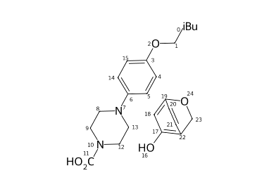 CCC(C)COc1ccc(N2CCN(C(=O)O)CC2)cc1.Oc1cc2ccc1CO2